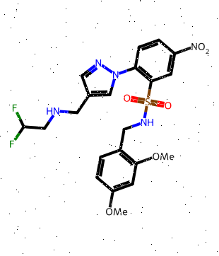 COc1ccc(CNS(=O)(=O)c2cc([N+](=O)[O-])ccc2-n2cc(CNCC(F)F)cn2)c(OC)c1